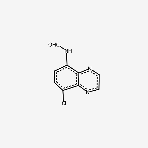 O=CNc1ccc(Cl)c2nccnc12